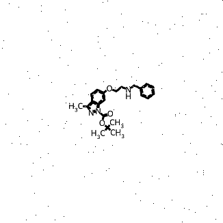 Cc1nn(C(=O)OC(C)(C)C)c2cc(OCCNCc3ccccc3)ccc12